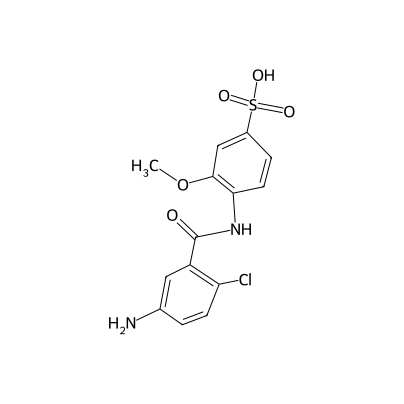 COc1cc(S(=O)(=O)O)ccc1NC(=O)c1cc(N)ccc1Cl